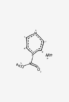 CC(=O)OC(=O)c1ccncc1.[Mn]